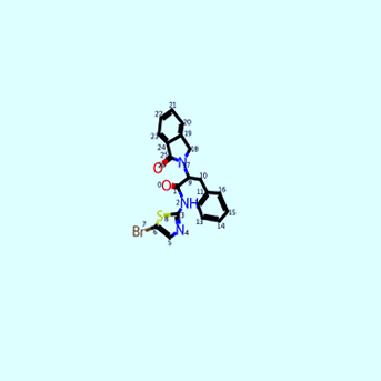 O=C(Nc1ncc(Br)s1)C(Cc1ccccc1)N1Cc2ccccc2C1=O